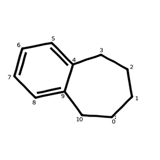 [C]1CCCc2ccccc2C1